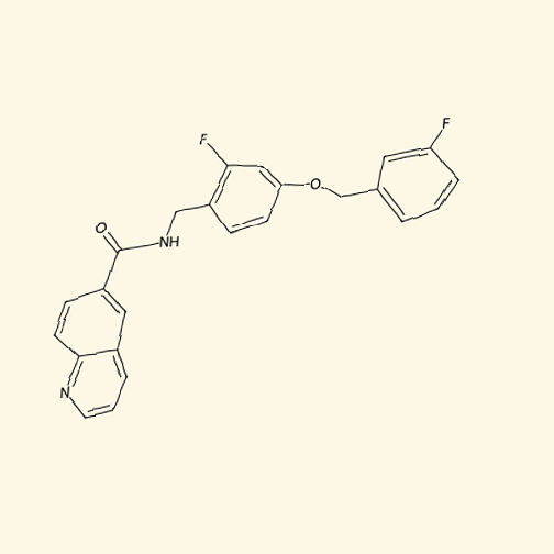 O=C(NCc1ccc(OCc2cccc(F)c2)cc1F)c1ccc2ncccc2c1